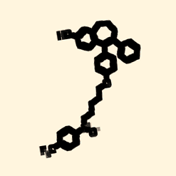 [O-][S+](CCCCCOc1ccc(C2=C(c3ccccc3)CCCc3cc(O)ccc32)cc1)c1ccc(C(F)(F)F)cc1